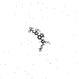 Cc1sc(-c2ccc(-c3cc(CCC(=O)O)c(C)s3)c3nsnc23)cc1CCOC=O